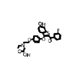 CCN(CCOc1ccc(Oc2c(C(=O)c3cccc(F)c3)sc3cc(O)ccc23)cc1)CC(=O)O